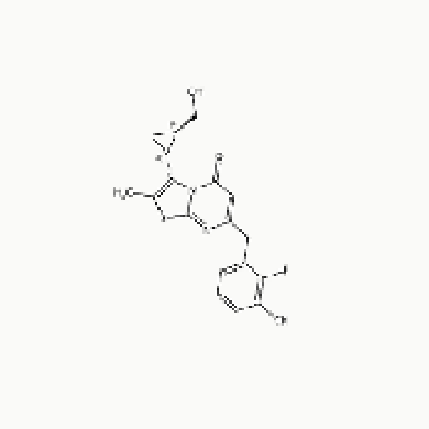 Cc1sc2nc(Cc3cccc(C#N)c3F)cc(=O)n2c1[C@@H]1C[C@H]1CO